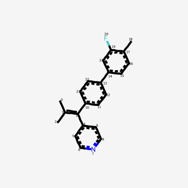 CC(C)=C(c1ccncc1)c1ccc(-c2ccc(C)c(F)c2)cc1